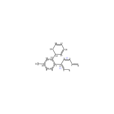 C=C/C=C\C(=C/C)c1ccc(I)cc1C1C=CC=CC1